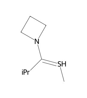 C[SH]=C(C(C)C)N1CCC1